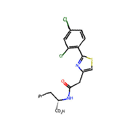 CC(C)C[C@H](NC(=O)Cc1csc(-c2ccc(Cl)cc2Cl)n1)C(=O)O